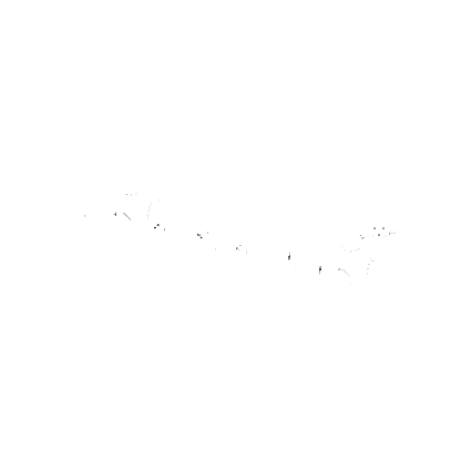 COc1cccc(OCCOCCOCCOCCOc2cccc(C=O)c2)c1